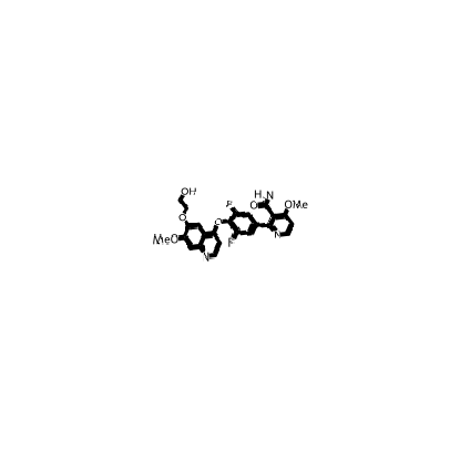 COc1cc2nccc(Oc3c(F)cc(-c4nccc(OC)c4C(N)=O)cc3F)c2cc1OCCO